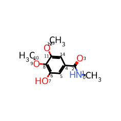 CNC(=O)c1cc(O)c(OC)c(OC)c1